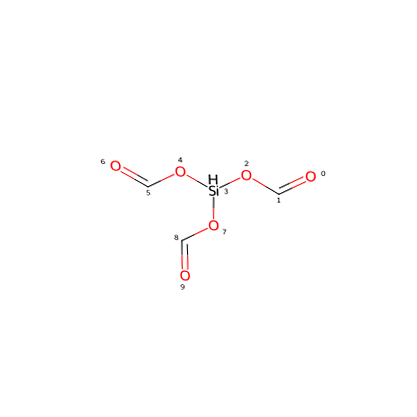 O=CO[SiH](OC=O)OC=O